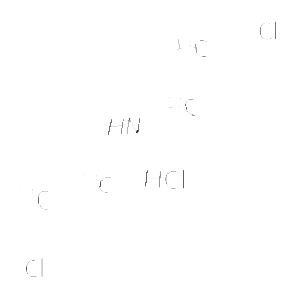 Cl.Cl[13CH2][13CH2]N[13CH2][13CH2]Cl